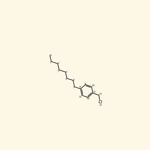 CCCCCCCCc1ccc(CCl)cc1